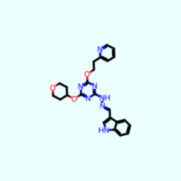 C(=NNc1nc(OCCc2ccccn2)nc(OC2CCOCC2)n1)c1c[nH]c2ccccc12